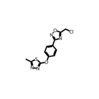 Cc1nnc(Oc2ccc(-c3noc(CCl)n3)cc2)s1